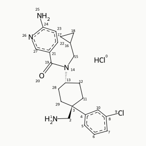 Cl.NC[C@]1(c2cccc(Cl)c2)CC[C@@H](N(CC2CC2)C(=O)c2ccc(N)nc2)CC1